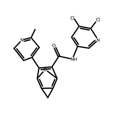 Cc1cc(-c2c(C(=O)Nc3cnc(Cl)c(Cl)c3)c3oc2c2c3C2)ccn1